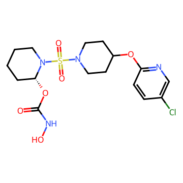 O=C(NO)O[C@@H]1CCCCN1S(=O)(=O)N1CCC(Oc2ccc(Cl)cn2)CC1